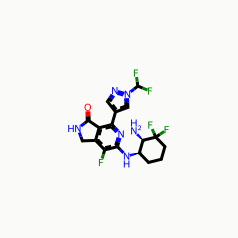 N[C@@H]1[C@H](Nc2nc(-c3cnn(C(F)F)c3)c3c(c2F)CNC3=O)CCCC1(F)F